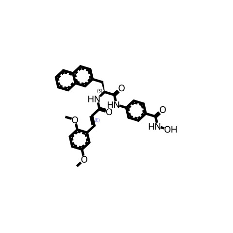 COc1ccc(OC)c(/C=C/C(=O)N[C@@H](Cc2ccc3ccccc3c2)C(=O)Nc2ccc(C(=O)NO)cc2)c1